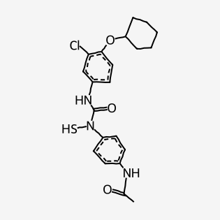 CC(=O)Nc1ccc(N(S)C(=O)Nc2ccc(OC3CCCCC3)c(Cl)c2)cc1